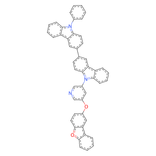 c1ccc(-n2c3ccccc3c3cc(-c4ccc5c(c4)c4ccccc4n5-c4cncc(Oc5ccc6oc7ccccc7c6c5)c4)ccc32)cc1